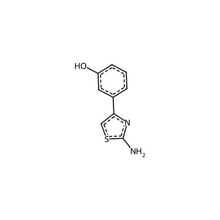 Nc1nc(-c2cccc(O)c2)cs1